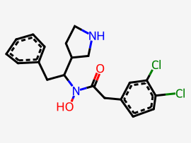 O=C(Cc1ccc(Cl)c(Cl)c1)N(O)C(Cc1ccccc1)C1CCNC1